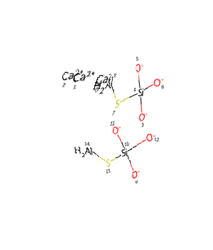 [Ca+2].[Ca+2].[Ca+2].[O-][Si]([O-])([O-])[S][AlH2].[O-][Si]([O-])([O-])[S][AlH2]